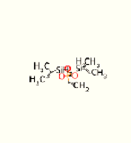 C=CP(=O)(O[SiH2]C(C)=CC)O[SiH2]C(C)=CC